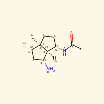 CC(=O)N[C@H]1CC[C@H]2[C@@H]1[C@H](N)C[C@@H]2C